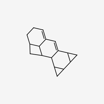 C1=C2C=C3C4CC4C4CC4C3C3CC(CC1)C23